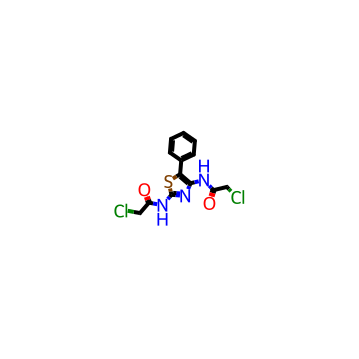 O=C(CCl)Nc1nc(NC(=O)CCl)c(-c2ccccc2)s1